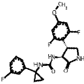 COc1cc(F)c([C@@H]2CNC(=O)[C@H]2NC(=O)NC2(c3cccc(F)c3)CC2)c(F)c1